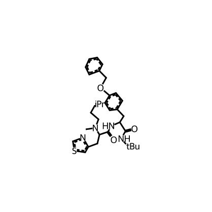 CC(C)CCN(C)C(Cc1cscn1)C(=O)NC(Cc1ccc(OCc2ccccc2)cc1)C(=O)NC(C)(C)C